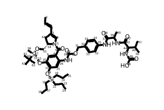 C/C=C/C1=CN(C(=O)c2cc(OC)c(O[Si](CCC)(CCC)CCC)cc2NC(=O)OCc2ccc(NC(=O)C(C)NC(=O)C(NC(=O)O)C(C)C)cc2)[C@H](CO[Si](C)(C)C(C)(C)C)C1